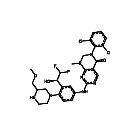 COCC1CN(c2ccc(Nc3ncc4c(n3)N(C)CN(c3c(Cl)cccc3Cl)C4=O)cc2[C@@H](O)C(F)F)CCN1